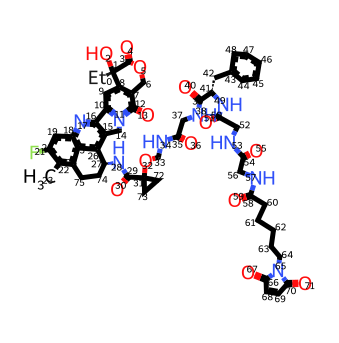 CC[C@@]1(O)C(=O)OCc2c1cc1n(c2=O)Cc2c-1nc1cc(F)c(C)c3c1c2[C@@H](NC(=O)C1(OCNC(=O)CNC(=O)[C@H](Cc2ccccc2)NC(=O)CNC(=O)CNC(=O)CCCCCN2C(=O)C=CC2=O)CC1)CC3